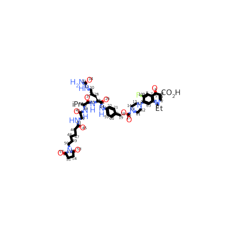 CCn1cc(C(=O)O)c(=O)c2cc(F)c(N3CCN(C(=O)OCc4ccc(NC(=O)[C@H](CCCNC(N)=O)NC(=O)C(NC(=O)CNC(=O)CCCCCN5C(=O)CCC5=O)C(C)C)cc4)CC3)cc21